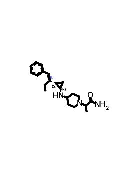 CC/C(=C\c1ccccc1)[C@@H]1C[C@H]1NC1CCN(C(C)C(N)=O)CC1